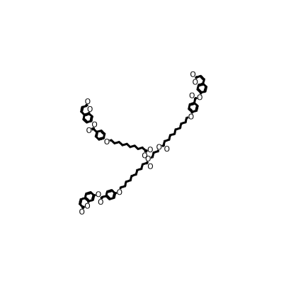 O=C(CCCCCCCCCOc1ccc(C(=O)Oc2ccc3ccc(=O)oc3c2)cc1)OCC(COC(=O)CCCCCCCCCOc1ccc(C(=O)Oc2ccc3ccc(=O)oc3c2)cc1)OC(=O)CCCCCCCCCOc1ccc(C(=O)Oc2ccc3ccc(=O)oc3c2)cc1